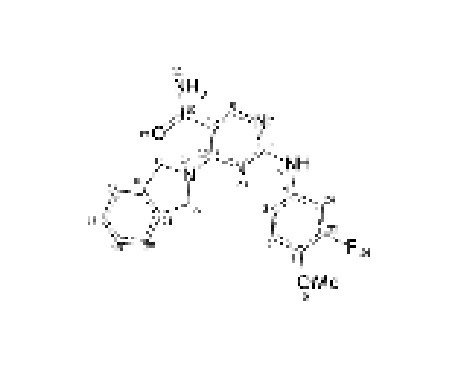 COc1ccc(Nc2ncc(C(N)=O)c(N3Cc4ccccc4C3)n2)cc1F